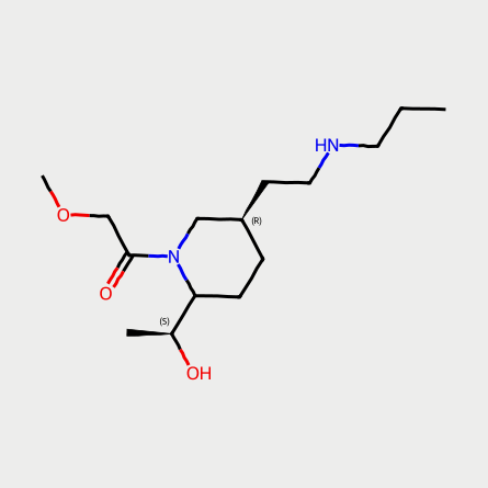 CCCNCC[C@H]1CCC([C@H](C)O)N(C(=O)COC)C1